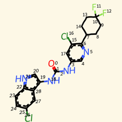 O=C(Nc1cnc(C2CCC(F)(F)CC2)c(Cl)c1)Nc1c[nH]c2ccc(Cl)cc12